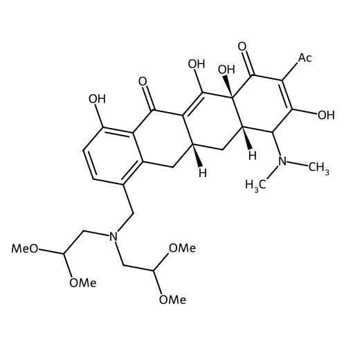 COC(CN(Cc1ccc(O)c2c1C[C@H]1C[C@H]3C(N(C)C)C(O)=C(C(C)=O)C(=O)[C@@]3(O)C(O)=C1C2=O)CC(OC)OC)OC